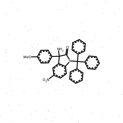 COc1ccc(C2(N)C(=O)N(C(c3ccccc3)(c3ccccc3)c3ccccc3)c3ccc([N+](=O)[O-])cc32)cc1